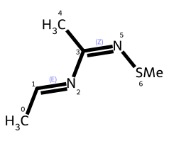 C/C=N/C(C)=N\SC